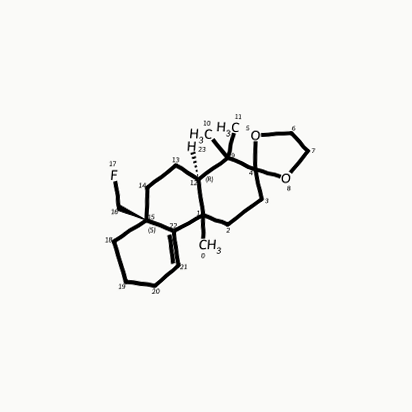 CC12CCC3(OCCO3)C(C)(C)[C@@H]1CC[C@@]1(CF)CCCC=C21